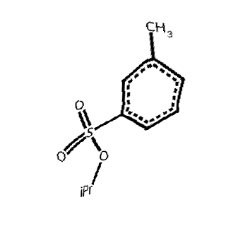 Cc1cccc(S(=O)(=O)OC(C)C)c1